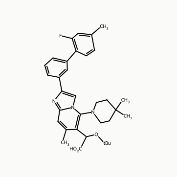 Cc1ccc(-c2cccc(-c3cn4c(N5CCC(C)(C)CC5)c(C(OC(C)(C)C)C(=O)O)c(C)cc4n3)c2)c(F)c1